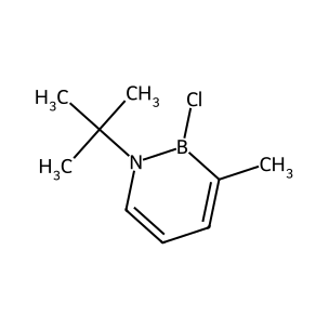 CC1=CC=CN(C(C)(C)C)B1Cl